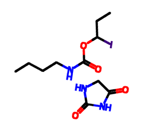 CCCCNC(=O)OC(I)CC.O=C1CNC(=O)N1